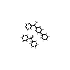 O=C(c1ccccc1)c1ccc(-c2ccccc2)cc1.O=C(c1ccccc1)c1ccccc1